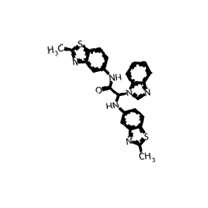 Cc1nc2cc(NC(=O)C(Nc3ccc4sc(C)nc4c3)n3cnc4ccccc43)ccc2s1